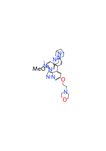 CN=Cc1cnn2cc(OCCN3CCOCC3)cc(-c3ccc(N4C5CC4CN(Cc4ccc(OC)nc4)C5)nc3)c12